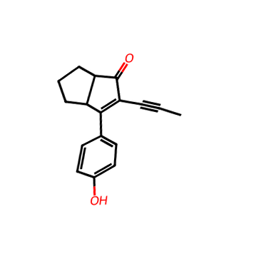 CC#CC1=C(c2ccc(O)cc2)C2CCCC2C1=O